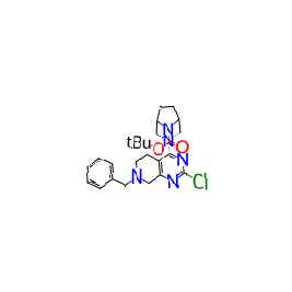 CC(C)(C)OC(=O)N1C2CCC1CN(c1nc(Cl)nc3c1CCN(Cc1ccccc1)C3)C2